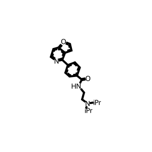 CC(C)N(CCNC(=O)c1ccc(-c2nccc3occc23)cc1)C(C)C